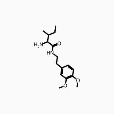 CCC(C)C(N)C(=O)NCCc1ccc(OC)c(OC)c1